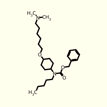 CCCCCN(C(=O)OCc1ccccc1)C1CCC(OCCCCCCN(C)C)CC1